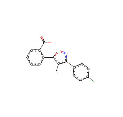 Cc1c(-c2ccc(F)cc2)noc1-c1ccccc1C(=O)O